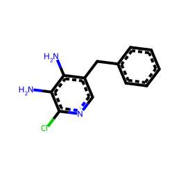 Nc1c(Cc2ccccc2)cnc(Cl)c1N